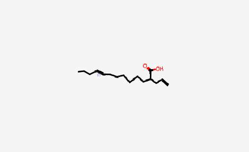 C=CCC(CCCCCC/C=C/CCC)C(=O)O